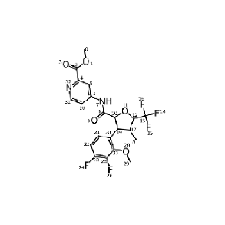 COC(=O)c1cc(NC(=O)C2OC(C(F)(F)F)C(C)C2c2ccc(F)c(F)c2OC)ccn1